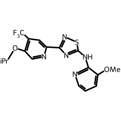 COc1cccnc1Nc1nc(-c2cc(C(F)(F)F)c(OC(C)C)cn2)ns1